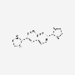 c1cc2cc(C3SCCS3)ccc2cc1C1SCCS1